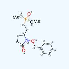 COP(=O)(CCC1CCC(=O)N1OCc1ccccc1)OC